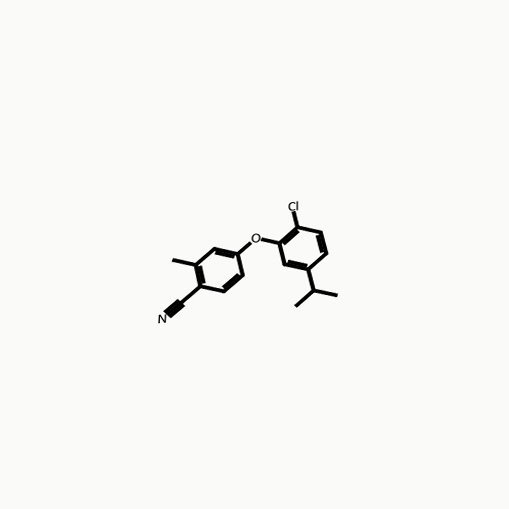 Cc1cc(Oc2cc(C(C)C)ccc2Cl)ccc1C#N